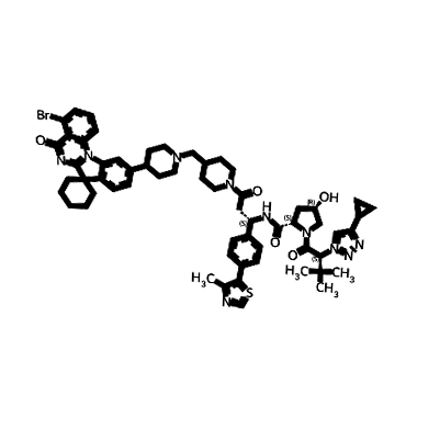 Cc1ncsc1-c1ccc([C@H](CC(=O)N2CCC(CN3CCC(c4ccc5c(c4)-n4c(nc(=O)c6c(Br)cccc64)C54CCCCC4)CC3)CC2)NC(=O)[C@@H]2C[C@@H](O)CN2C(=O)[C@@H](n2cc(C3CC3)nn2)C(C)(C)C)cc1